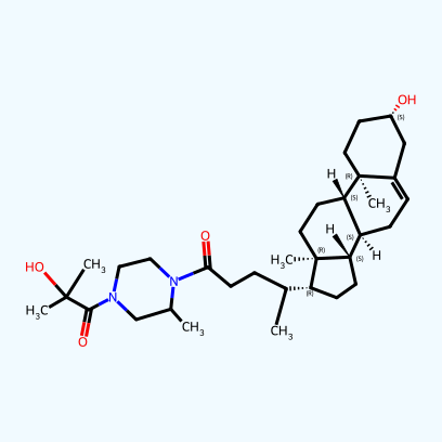 CC(CCC(=O)N1CCN(C(=O)C(C)(C)O)CC1C)[C@H]1CC[C@H]2[C@@H]3CC=C4C[C@@H](O)CC[C@]4(C)[C@H]3CC[C@]12C